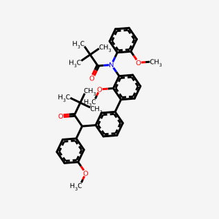 COc1cccc(C(C(=O)C(C)(C)C)c2cccc(-c3cccc(N(C(=O)C(C)(C)C)c4ccccc4OC)c3OC)c2)c1